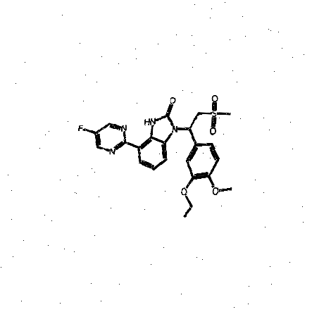 CCOc1cc(C(CS(C)(=O)=O)n2c(=O)[nH]c3c(-c4ncc(F)cn4)cccc32)ccc1OC